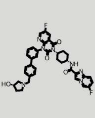 O=C(N[C@H]1CC[C@@H](n2c(=O)c3cc(F)cnc3n(-c3cccc(-c4ccc(CN5CC[C@@H](O)C5)cc4)c3)c2=O)CC1)c1cn2cc(F)ccc2n1